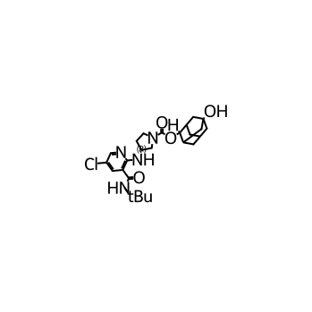 CC(C)(C)NC(=O)c1cc(Cl)cnc1N[C@@H]1CCN(C(=O)O[C@H]2C3CC4CC2C[C@](O)(C4)C3)C1